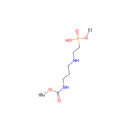 CCOP(=O)(O)CCNCCCNC(=O)OC(C)(C)C